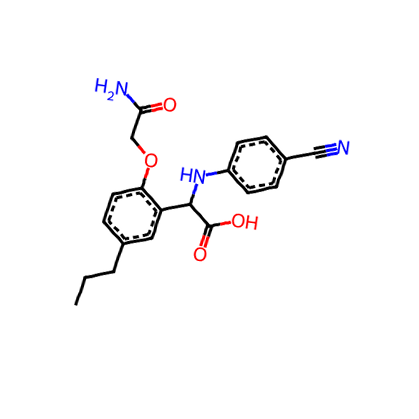 CCCc1ccc(OCC(N)=O)c(C(Nc2ccc(C#N)cc2)C(=O)O)c1